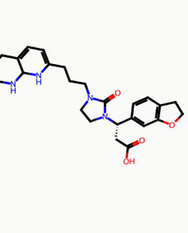 O=C(O)C[C@@H](c1ccc2c(c1)OCC2)N1CCN(CCCC2=CC=C3CCCNC3N2)C1=O